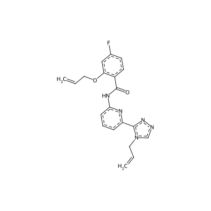 C=CCOc1cc(F)ccc1C(=O)Nc1cccc(-c2nncn2CC=C)n1